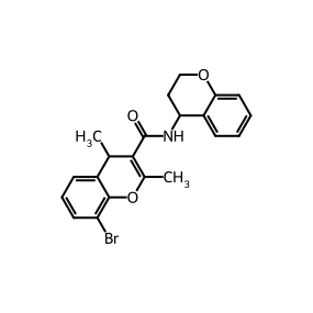 CC1=C(C(=O)NC2CCOc3ccccc32)C(C)c2cccc(Br)c2O1